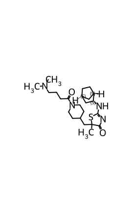 CN(C)CCCC(=O)N1CCC(CC2(C)SC(N[C@H]3C[C@H]4CC[C@H]3C4)=NC2=O)CC1